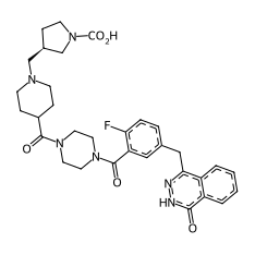 O=C(O)N1CC[C@H](CN2CCC(C(=O)N3CCN(C(=O)c4cc(Cc5n[nH]c(=O)c6ccccc56)ccc4F)CC3)CC2)C1